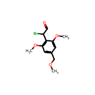 COCc1cc(OC)c(C(Br)C=O)c(OC)c1